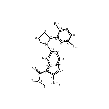 CN(C)C(=O)c1c(N)nn2ccc(N3CCCC3c3cc(F)ccc3F)nc12